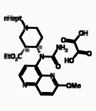 CCCCCCCN1CC[C@H](N(C(N)=O)c2ccnc3ccc(OC)nc23)[C@H](C(=O)OCC)C1.O=C(O)C(=O)O